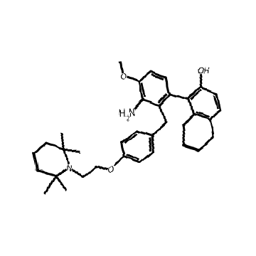 COc1ccc(-c2c(O)ccc3c2CCCC3)c(Cc2ccc(OCCN3C(C)(C)CCCC3(C)C)cc2)c1N